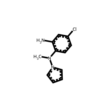 CN(c1ccc(Cl)cc1N)n1cccc1